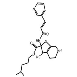 CN(C)CCCOC(=O)C1(NC(=O)C=Cc2cccnc2)SC2=C(CCNC2)C1C#N